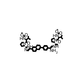 C=C(N/C=C(\N)c1ccc(-c2ccc3cc(-c4cnc([C@@H]5CCCN5C(=O)[C@@H](NC(=O)OC)C(C)C)[nH]4)ccc3c2)cc1)[C@@H]1CCCN1C(=O)[C@@H](NC(=O)OC)C(C)C